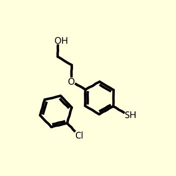 Clc1ccccc1.OCCOc1ccc(S)cc1